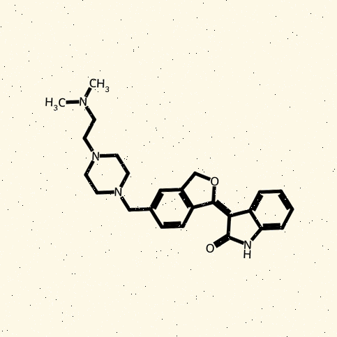 CN(C)CCN1CCN(Cc2ccc3c(c2)COC3=C2C(=O)Nc3ccccc32)CC1